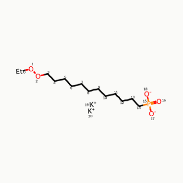 CCOOCCCCCCCCCCCCP(=O)([O-])[O-].[K+].[K+]